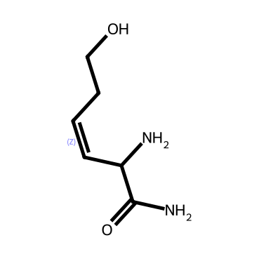 NC(=O)C(N)/C=C\CCO